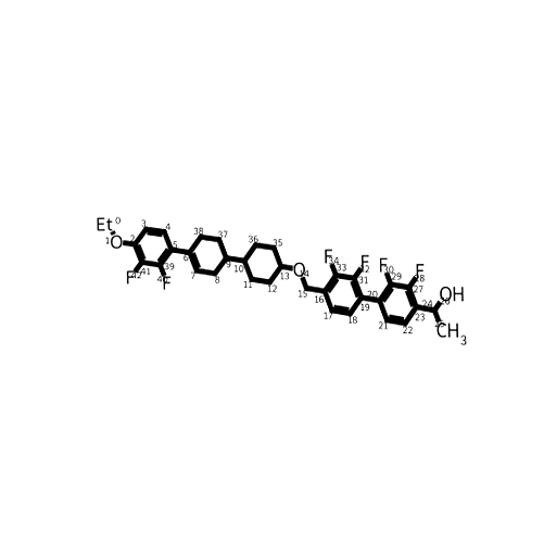 CCOc1ccc(C2=CCC(C3CCC(OCc4ccc(-c5ccc(C(C)O)c(F)c5F)c(F)c4F)CC3)CC2)c(F)c1F